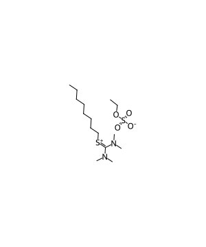 CCCCCCCC[S+]=C(N(C)C)N(C)C.CCOS(=O)(=O)[O-]